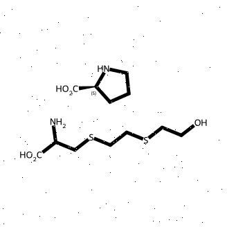 NC(CSCCSCCO)C(=O)O.O=C(O)[C@@H]1CCCN1